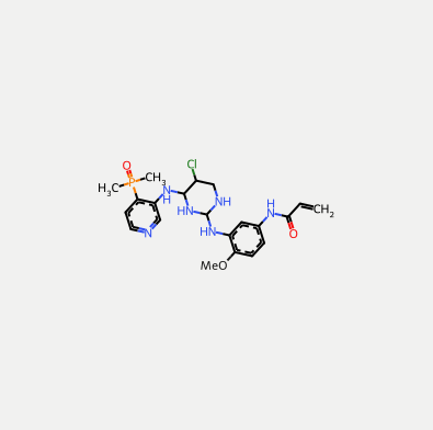 C=CC(=O)Nc1ccc(OC)c(NC2NCC(Cl)C(Nc3cnccc3P(C)(C)=O)N2)c1